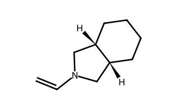 C=CN1C[C@H]2CCCC[C@H]2C1